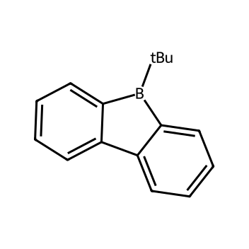 CC(C)(C)B1c2ccccc2-c2ccccc21